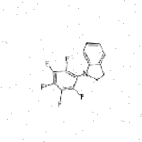 Fc1c(F)c(F)c(N2CCc3ccccc32)c(F)c1F